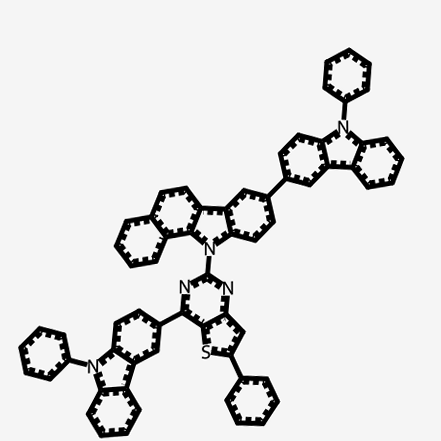 c1ccc(-c2cc3nc(-n4c5ccc(-c6ccc7c(c6)c6ccccc6n7-c6ccccc6)cc5c5ccc6ccccc6c54)nc(-c4ccc5c(c4)c4ccccc4n5-c4ccccc4)c3s2)cc1